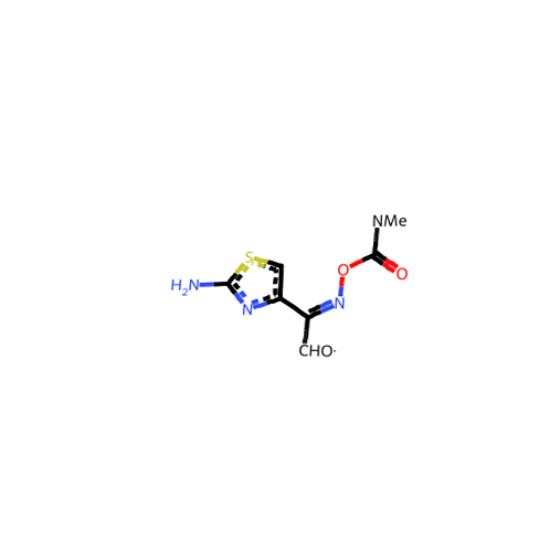 CNC(=O)O/N=C(/[C]=O)c1csc(N)n1